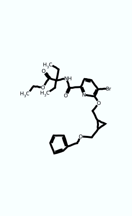 CCOC(=O)C(CC)(CC)NC(=O)c1ccc(Br)c(OCC2CC2COCc2ccccc2)n1